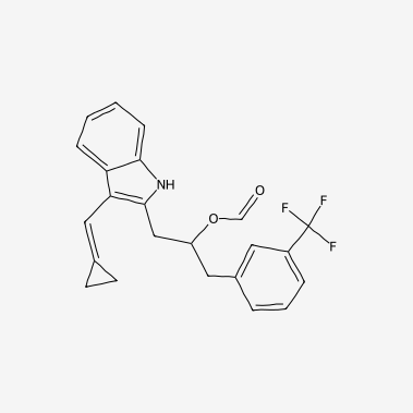 O=COC(Cc1cccc(C(F)(F)F)c1)Cc1[nH]c2ccccc2c1C=C1CC1